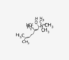 CC(C)=CCC/C(C)=C/C(O)[N+](C)(C)C.[OH-]